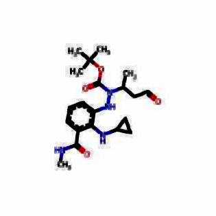 CNC(=O)c1cccc(NN(C(=O)OC(C)(C)C)C(C)CC=O)c1NC1CC1